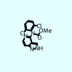 COC(=O)N(c1c(Cl)cccc1Cl)c1nccc2n[nH]cc12